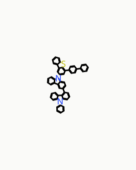 c1ccc(-c2ccc(-c3cc(-n4c5ccccc5c5cc(-c6cccc7c6c6ccccc6n7-c6ccccc6)ccc54)cc4c3sc3ccccc34)cc2)cc1